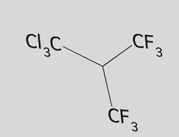 FC(F)(F)C(C(F)(F)F)C(Cl)(Cl)Cl